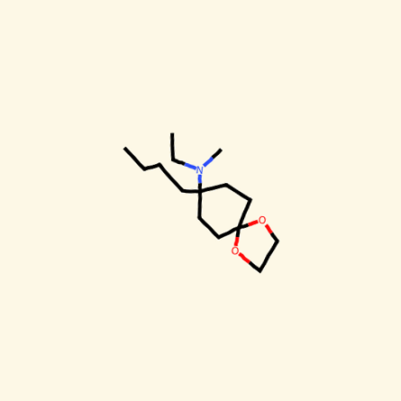 CCCCC1(N(C)CC)CCC2(CC1)OCCO2